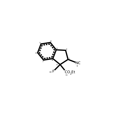 [C-]#[N+]C1Cc2ccccc2C1(F)C(=O)OCC